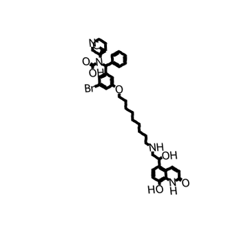 O=C(O)N(C(c1ccccc1)c1cc(Br)cc(OCCCCCCCCCNCC(O)c2ccc(O)c3[nH]c(=O)ccc23)c1)C1CN2CCC1CC2